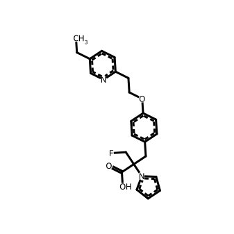 CCc1ccc(CCOc2ccc(CC(CF)(C(=O)O)n3cccc3)cc2)nc1